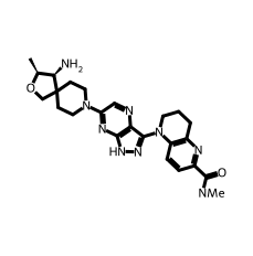 CNC(=O)c1ccc2c(n1)CCCN2c1n[nH]c2nc(N3CCC4(CC3)CO[C@@H](C)[C@H]4N)cnc12